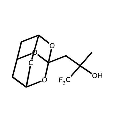 CC(O)(CC12OC3CC(CC(C3)O1)O2)C(F)(F)F